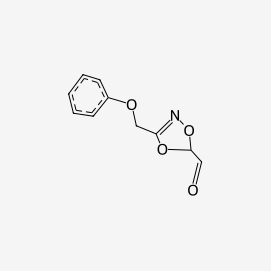 O=CC1ON=C(COc2ccccc2)O1